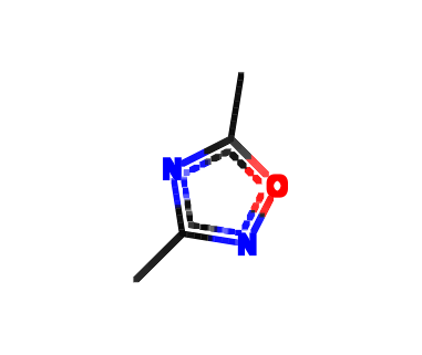 Cc1noc(C)n1